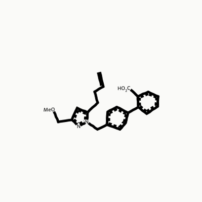 C=CCCc1cc(COC)nn1Cc1ccc(-c2ccccc2C(=O)O)cc1